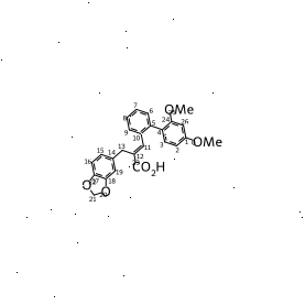 COc1ccc(-c2ccccc2/C=C(\Cc2ccc3c(c2)OCO3)C(=O)O)c(OC)c1